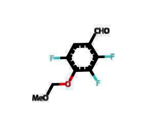 COCOc1c(F)cc(C=O)c(F)c1F